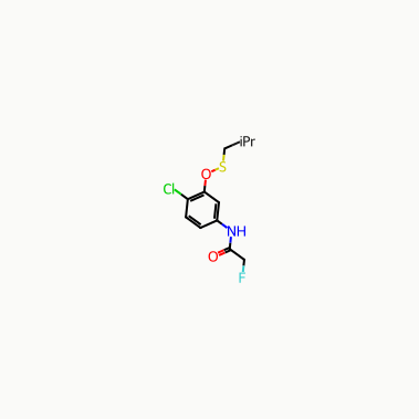 CC(C)CSOc1cc(NC(=O)CF)ccc1Cl